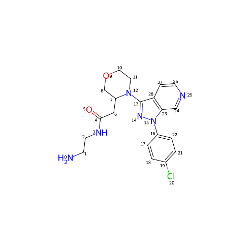 NCCNC(=O)CC1COCCN1c1nn(-c2ccc(Cl)cc2)c2cnccc12